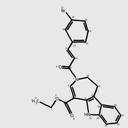 CCOC(=O)C1=CN(C(=O)C=Cc2cccc(Br)c2)CCc2c1[nH]c1ccccc21